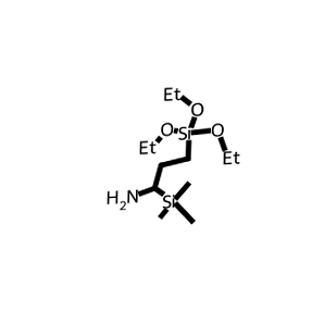 CCO[Si](CCC(N)[Si](C)(C)C)(OCC)OCC